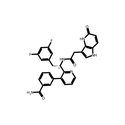 NC(=O)c1cccc(-c2cccnc2[C@H](Cc2cc(F)cc(F)c2)NC(=O)Cc2c[nH]c3ccc(=O)[nH]c23)c1